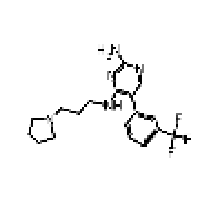 Nc1ncc(-c2cccc(C(F)(F)F)c2)c(NCCCN2CCCC2)n1